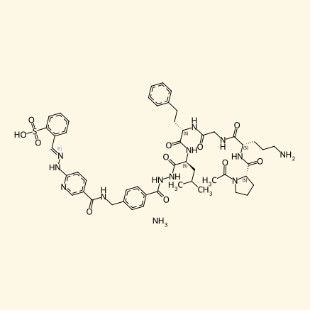 CC(=O)N1CCC[C@H]1C(=O)N[C@@H](CCCN)C(=O)NCC(=O)N[C@@H](CCc1ccccc1)C(=O)N[C@@H](CC(C)C)C(=O)NNC(=O)c1ccc(CNC(=O)c2ccc(N/N=C/c3ccccc3S(=O)(=O)O)nc2)cc1.N